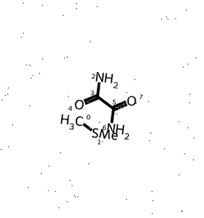 CSC.NC(=O)C(N)=O